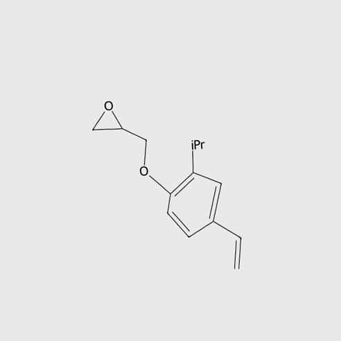 C=Cc1ccc(OCC2CO2)c(C(C)C)c1